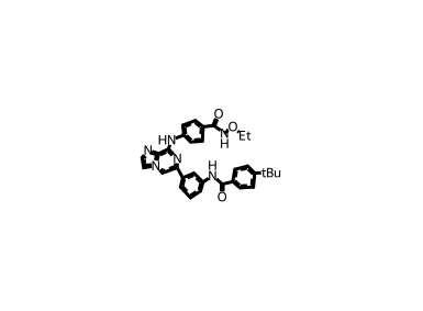 CCONC(=O)c1ccc(Nc2nc(-c3cccc(NC(=O)c4ccc(C(C)(C)C)cc4)c3)cn3ccnc23)cc1